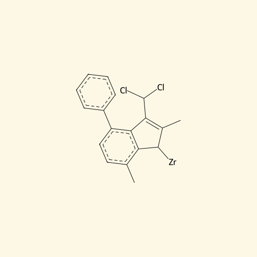 CC1=C(C(Cl)Cl)c2c(-c3ccccc3)ccc(C)c2[CH]1[Zr]